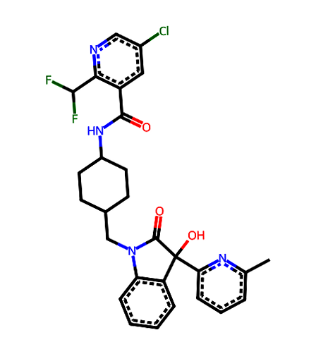 Cc1cccc(C2(O)C(=O)N(CC3CCC(NC(=O)c4cc(Cl)cnc4C(F)F)CC3)c3ccccc32)n1